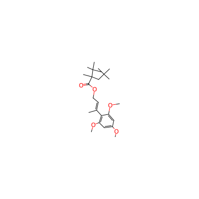 COc1cc(OC)c(/C(C)=C/COC(=O)C(C)(CC(C)(C)C)C(C)(C)C)c(OC)c1